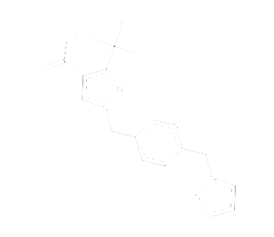 O=C(O)c1cn(Cc2ccc(Cn3cccn3)nc2)nc1C(F)(F)F